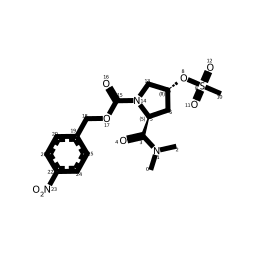 CN(C)C(=O)[C@@H]1C[C@@H](OS(C)(=O)=O)CN1C(=O)OCc1ccc([N+](=O)[O-])cc1